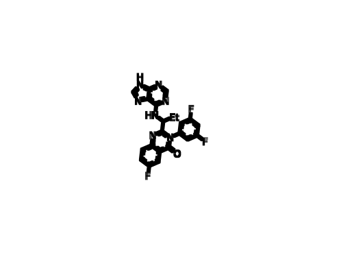 CCC(Nc1ncnc2[nH]cnc12)c1nc2ccc(F)cc2c(=O)n1-c1cc(F)cc(F)c1